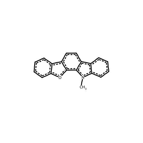 Cn1c2ccccc2c2ccc3c4ccccc4oc3c21